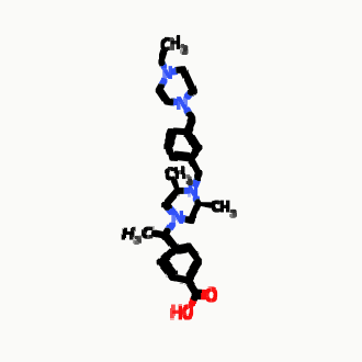 CCN1CCN(Cc2cccc(CN3[C@H](C)CN(C(C)c4ccc(C(=O)O)cc4)C[C@@H]3C)c2)CC1